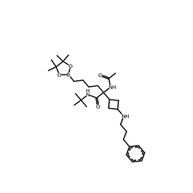 CC(=O)NC(CCCCB1OC(C)(C)C(C)(C)O1)(C(=O)NC(C)(C)C)C1CC(NCCCc2ccccc2)C1